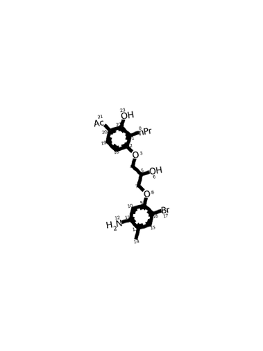 CCCc1c(OCC(O)COc2cc(N)c(C)cc2Br)ccc(C(C)=O)c1O